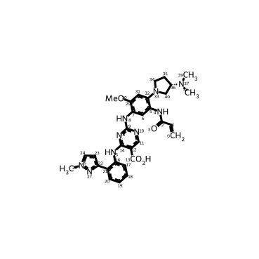 C=CC(=O)Nc1cc(Nc2ncc(C(=O)O)c(Nc3ccccc3-c3ccn(C)n3)n2)c(OC)cc1N1CC[C@H](N(C)C)C1